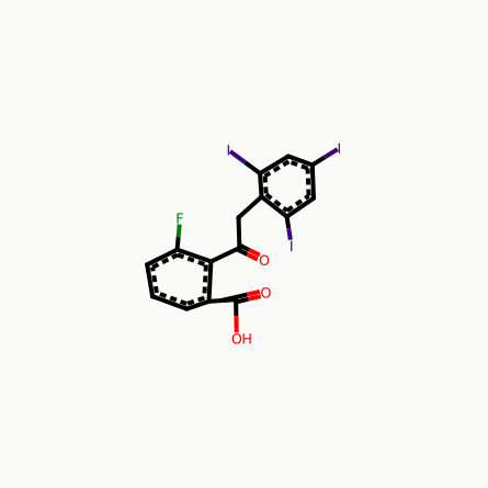 O=C(O)c1cccc(F)c1C(=O)Cc1c(I)cc(I)cc1I